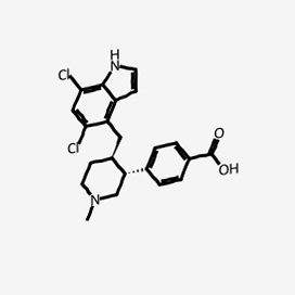 CN1CC[C@@H](Cc2c(Cl)cc(Cl)c3[nH]ccc23)[C@H](c2ccc(C(=O)O)cc2)C1